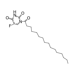 CCCCCCCCCCCCCCCC(=O)n1cc(F)c(=O)[nH]c1=O